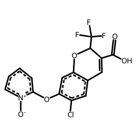 O=C(O)C1=Cc2cc(Cl)c(Oc3cccc[n+]3[O-])cc2OC1C(F)(F)F